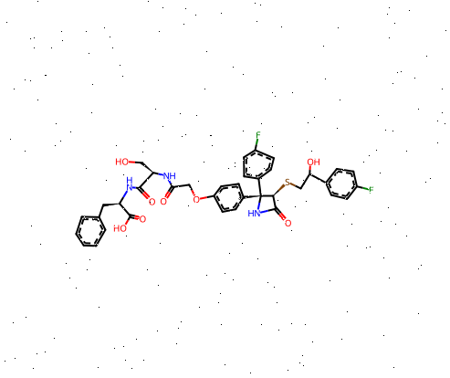 O=C(COc1ccc([C@]2(c3ccc(F)cc3)NC(=O)[C@@H]2SCC(O)c2ccc(F)cc2)cc1)N[C@H](CO)C(=O)N[C@H](Cc1ccccc1)C(=O)O